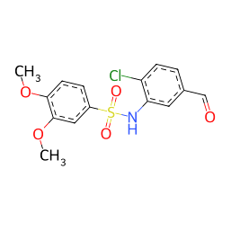 COc1ccc(S(=O)(=O)Nc2cc(C=O)ccc2Cl)cc1OC